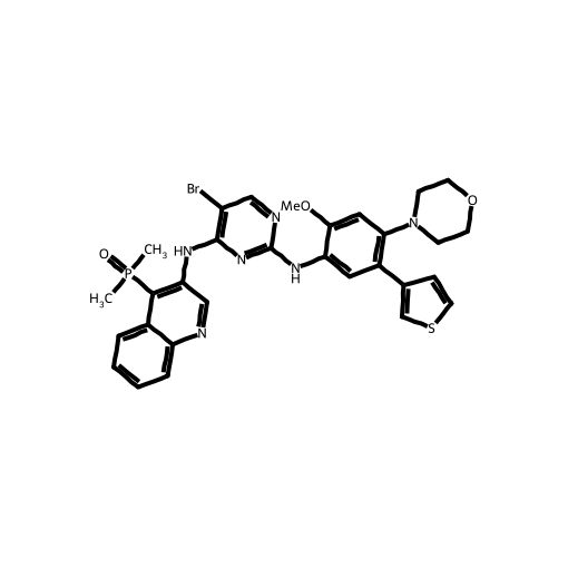 COc1cc(N2CCOCC2)c(-c2ccsc2)cc1Nc1ncc(Br)c(Nc2cnc3ccccc3c2P(C)(C)=O)n1